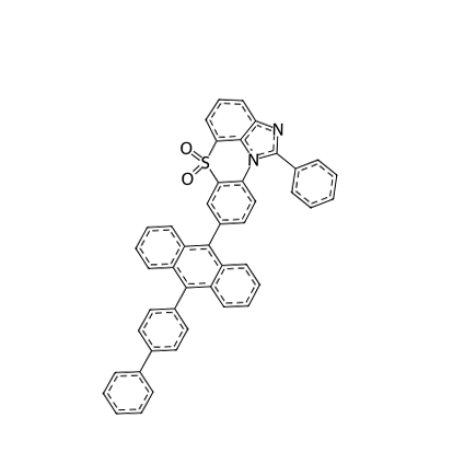 O=S1(=O)c2cc(-c3c4ccccc4c(-c4ccc(-c5ccccc5)cc4)c4ccccc34)ccc2-n2c(-c3ccccc3)nc3cccc1c32